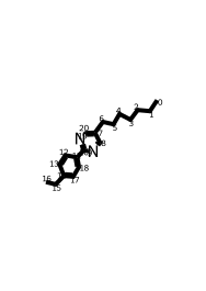 CCCCCCCc1cnc(-c2ccc(CC)cc2)nc1